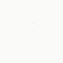 COc1cccc(Cc2nc3c(c(C(C)C)nn3-c3c(Cl)cc(NC=O)cc3Cl)c(=O)[nH]2)c1